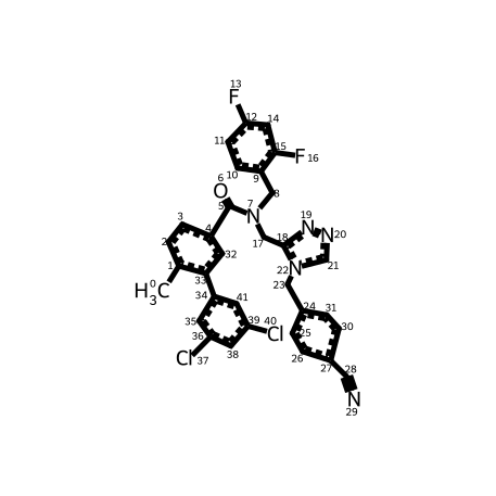 Cc1ccc(C(=O)N(Cc2ccc(F)cc2F)Cc2nncn2Cc2ccc(C#N)cc2)cc1-c1cc(Cl)cc(Cl)c1